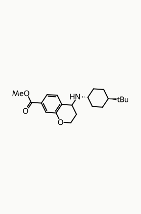 COC(=O)c1ccc2c(c1)OCCC2N[C@H]1CC[C@H](C(C)(C)C)CC1